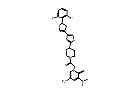 CN(C)c1cc(C(F)(F)F)cn(CC(=O)N2CCC(c3nc(C4=NOC(c5c(Cl)cccc5Cl)C4)cs3)CC2)c1=O